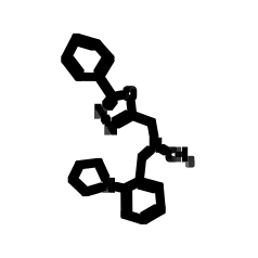 CN(Cc1nnc(-c2ccccc2)o1)Cc1ccccc1N1CCCC1